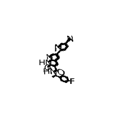 CC(NC(=O)c1cc2cc(-c3ccc(C#N)cn3)cnc2[nH]c1=O)c1ccc(F)cc1